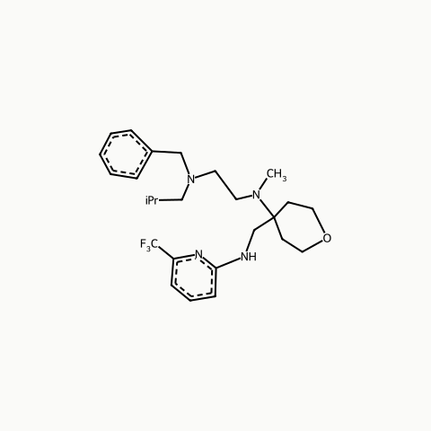 CC(C)CN(CCN(C)C1(CNc2cccc(C(F)(F)F)n2)CCOCC1)Cc1ccccc1